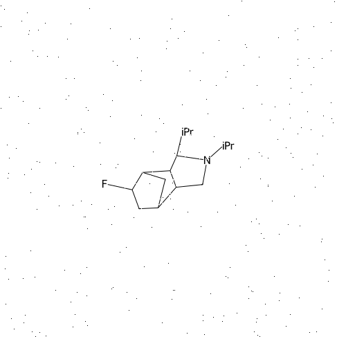 CC(C)C1C2C3CC(CC3F)C2CN1C(C)C